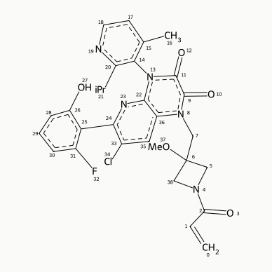 C=CC(=O)N1CC(Cn2c(=O)c(=O)n(-c3c(C)ccnc3C(C)C)c3nc(-c4c(O)cccc4F)c(Cl)cc32)(OC)C1